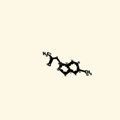 CC(=O)Cn1ncc2cc(C)ccc21